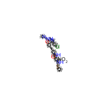 Cc1c(C(=O)NCCN2CCCC2)c(-c2cccc(C#Cc3ccc(N[S+]([O-])c4ccc(NCCSc5ccccc5)c([N+](=O)[O-])c4)cc3)c2)c(-c2ccc(Cl)cc2)n1C